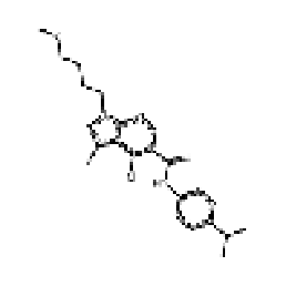 COCCCCn1nc(C)c2c(Cl)c(C(=O)Nc3ccc(C(C)C)cc3)cnc21